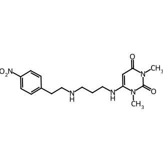 Cn1c(NCCCNCCc2ccc([N+](=O)[O-])cc2)cc(=O)n(C)c1=O